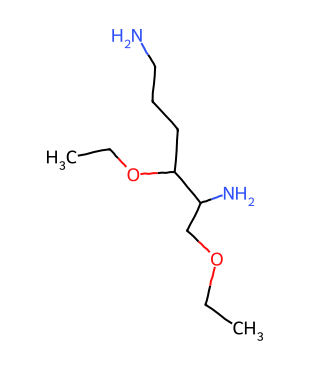 CCOCC(N)C(CCCN)OCC